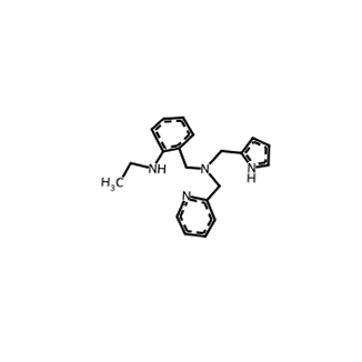 CCNc1ccccc1CN(Cc1ccccn1)Cc1ccc[nH]1